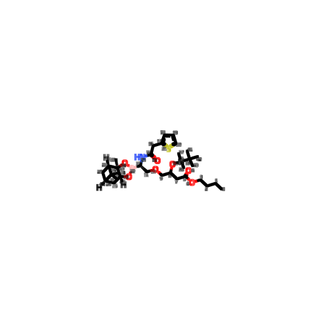 CCCCOC(=O)CC(COC[C@H](NC(=O)Cc1cccs1)B1O[C@@H]2C[C@@H]3C[C@@H](C3(C)C)[C@]2(C)O1)O[Si](C)(C)C(C)(C)C